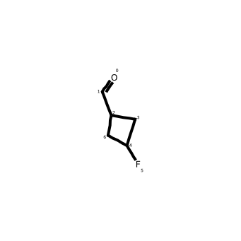 O=[C]C1CC(F)C1